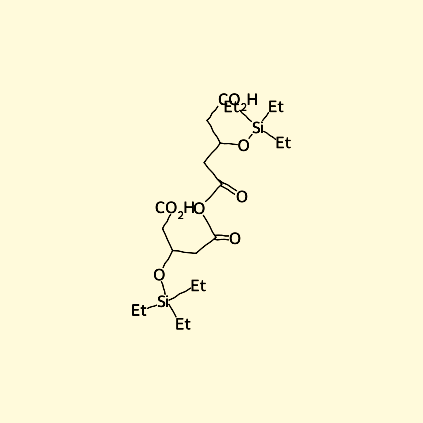 CC[Si](CC)(CC)OC(CC(=O)O)CC(=O)OC(=O)CC(CC(=O)O)O[Si](CC)(CC)CC